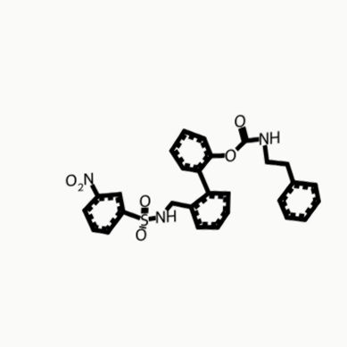 O=C(NCCc1ccccc1)Oc1ccccc1-c1ccccc1CNS(=O)(=O)c1cccc([N+](=O)[O-])c1